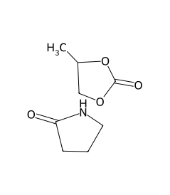 CC1COC(=O)O1.O=C1CCCN1